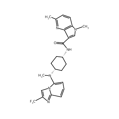 Cc1ccc2c(n1)c(C(=O)N[C@H]1CC[C@@H](N(C)c3cccc4nc(C(F)(F)F)cn34)CC1)cn2C